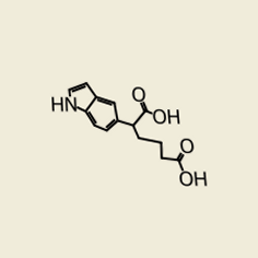 O=C(O)CCCC(C(=O)O)c1ccc2[nH]ccc2c1